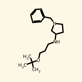 CC(C)(C)OCCCNC1CCN(Cc2ccccc2)C1